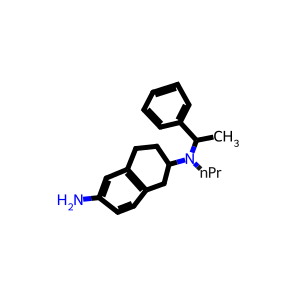 CCCN(C1CCc2cc(N)ccc2C1)C(C)c1ccccc1